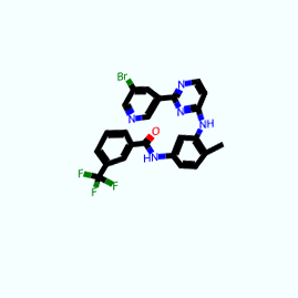 Cc1ccc(NC(=O)c2cccc(C(F)(F)F)c2)cc1Nc1ccnc(-c2cncc(Br)c2)n1